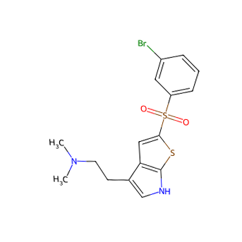 CN(C)CCc1c[nH]c2sc(S(=O)(=O)c3cccc(Br)c3)cc12